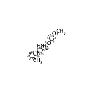 CCOc1ccc(OCC(=O)NC2CCN(Cc3ccccc3C)CC2)cc1